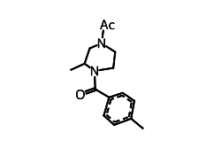 CC(=O)N1CCN(C(=O)c2ccc(C)cc2)C(C)C1